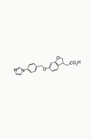 O=C(O)CC1COc2cc(OCc3ccc(-n4ccnc4)cc3)ccc21